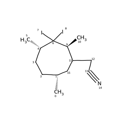 C[C@@H]1CC[C@H](C)C(I)(I)[C@@H](C)C(CC#N)C1